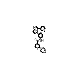 Cc1ccc(NC(=O)c2ccnc(N3CCOCC3)c2)cc1-n1ccc2ncc(-c3cccnc3)n21